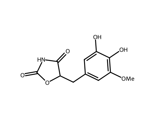 COc1cc(CC2OC(=O)NC2=O)cc(O)c1O